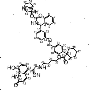 O=C(NC(c1ccccc1)c1cccc(OCc2ccc(C3(C(=O)OCCCCNC[C@@H](O)c4ccc(O)c5[nH]c(=O)ccc45)CCCCC3)cc2)c1)O[C@H]1CN2CCC1CC2